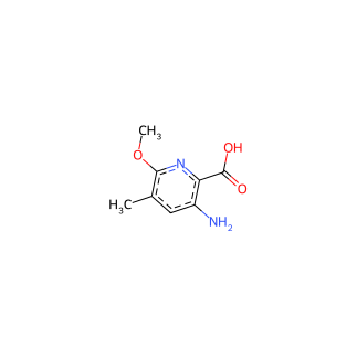 COc1nc(C(=O)O)c(N)cc1C